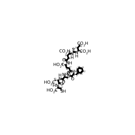 N[C@@H](CNC(=O)[C@H](Cc1ccccc1)NC(=O)CC[C@H](NC(=O)CC[C@H](NC(=S)N[C@@H](CCC(=O)O)C(=O)O)C(=O)O)C(=O)O)C(=O)N[C@@H](CC(=O)O)C(=O)N[C@@H](CS)C(=O)O